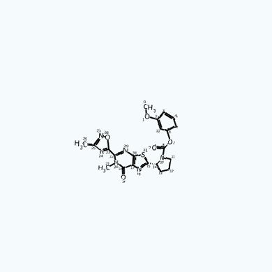 COc1cccc(OC(=O)N2CCC[C@@H]2c2nc3c(=O)n(C)c(-c4nc(C)no4)nc3s2)c1